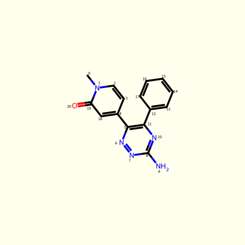 Cn1ccc(-c2nnc(N)nc2-c2ccccc2)cc1=O